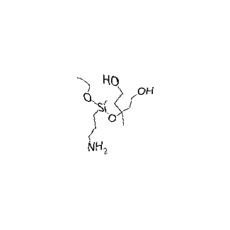 CCO[Si](C)(CCCN)OC(C)(CCO)CCO